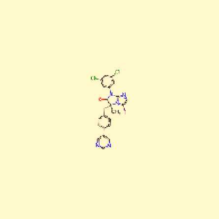 C[C@@]1(Cc2ccc(-c3cncnc3)cc2)C(=O)N(c2cc(Cl)cc(Cl)c2)c2ncc(I)n21